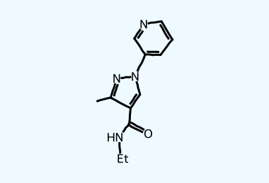 CCNC(=O)c1cn(-c2cccnc2)nc1C